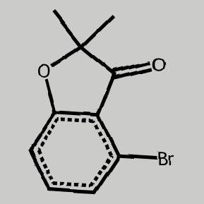 CC1(C)Oc2cccc(Br)c2C1=O